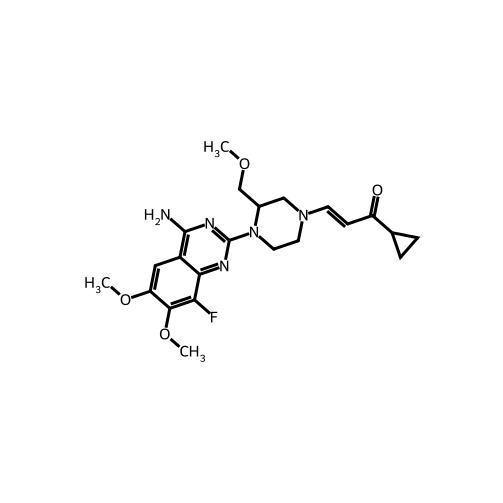 COCC1CN(C=CC(=O)C2CC2)CCN1c1nc(N)c2cc(OC)c(OC)c(F)c2n1